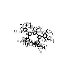 CC(C)(C)c1cc(-c2cc(-c3cc(C(C)(C)C)cc(C(C)(C)C)c3)cc(-c3cc(-c4cc(-c5cc(C(C)(C)C)cc(C(C)(C)C)c5)cc(-c5cc(C(C)(C)C)cc(C(C)(C)C)c5)c4)nc(C(C)(C)C)n3)c2)cc(C(C)(C)C)c1